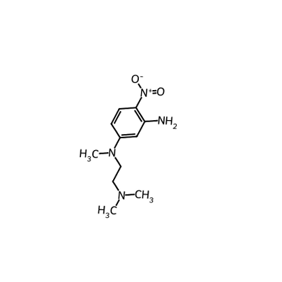 CN(C)CCN(C)c1ccc([N+](=O)[O-])c(N)c1